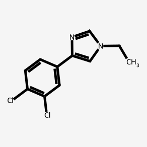 CCn1[c]nc(-c2ccc(Cl)c(Cl)c2)c1